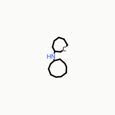 C1CCCCC(NC2CCCCCCC2)CCCC1